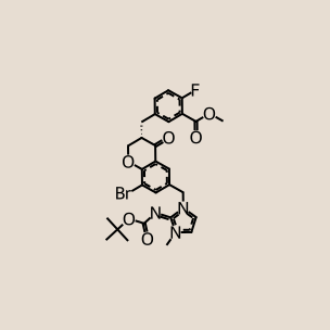 COC(=O)c1cc(C[C@H]2COc3c(Br)cc(Cn4ccn(C)c4=NC(=O)OC(C)(C)C)cc3C2=O)ccc1F